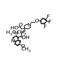 COc1ccc2ncc(N(C)C)c([C@@H](O)CCC3(CC(=O)O)CCN(CCOc4cc(F)c(F)c(F)c4)CC3)c2c1